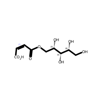 O=C(O)/C=C\C(=O)OC[C@H](O)[C@@H](O)[C@H](O)CO